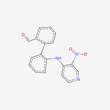 O=Cc1ccccc1-c1ccccc1Nc1ccncc1[N+](=O)[O-]